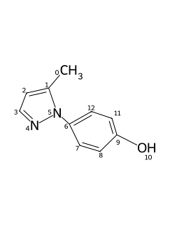 Cc1ccnn1-c1ccc(O)cc1